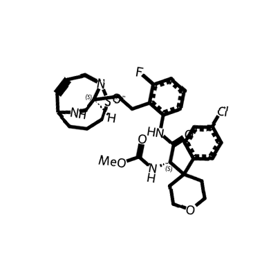 COC(=O)N[C@H](C(=O)Nc1cccc(F)c1CC[C@H]1CNC2C#CCN1[S+]([O-])CCC2)C1(c2ccc(Cl)cc2)CCOCC1